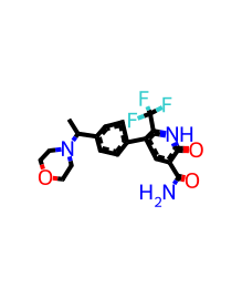 CC(c1ccc(-c2cc(C(N)=O)c(=O)[nH]c2C(F)(F)F)cc1)N1CCOCC1